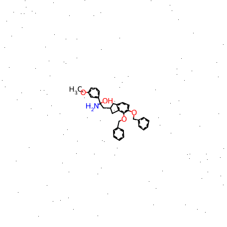 COc1cccc(C(N)(O)CC2Cc3ccc(OCc4ccccc4)c(OCc4ccccc4)c3C2)c1